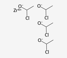 CC([O-])Cl.CC([O-])Cl.CC([O-])Cl.CC([O-])Cl.[Zr+4]